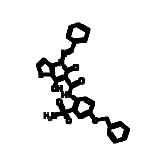 NS(=O)(=O)c1cc(OCc2ccccc2)ccc1NC(=O)c1c(O)c2sccc2n(N=Cc2ccccc2)c1=O